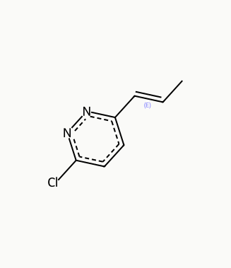 C/C=C/c1ccc(Cl)nn1